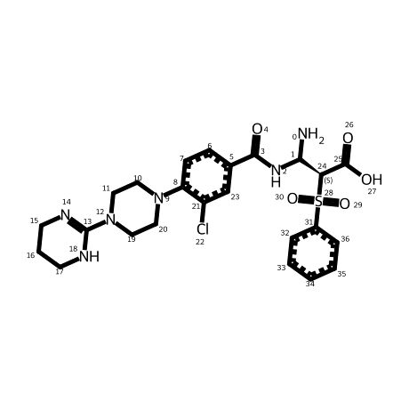 NC(NC(=O)c1ccc(N2CCN(C3=NCCCN3)CC2)c(Cl)c1)[C@@H](C(=O)O)S(=O)(=O)c1ccccc1